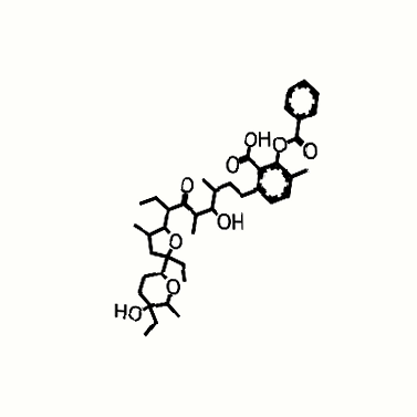 CCC(C(=O)C(C)C(O)C(C)CCc1ccc(C)c(OC(=O)c2ccccc2)c1C(=O)O)C1OC(CC)(C2CCC(O)(CC)C(C)O2)CC1C